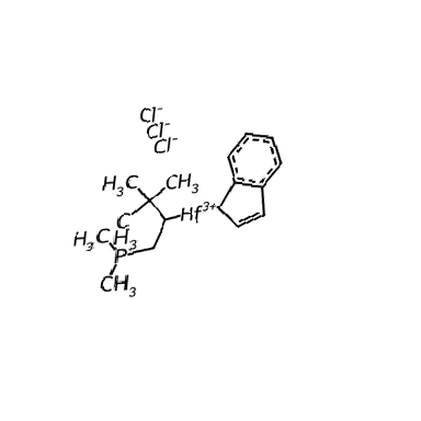 CP(C)C[CH]([Hf+3][CH]1C=Cc2ccccc21)C(C)(C)C.[Cl-].[Cl-].[Cl-]